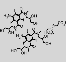 CN(CC(O)CO)C(=O)c1c(I)c(N)c(I)c(C(=O)N(C)CC(O)CO)c1I.CN(CC(O)CO)C(=O)c1c(I)c(N)c(I)c(C(=O)N(C)CC(O)CO)c1I.O=C(O)CSSCC(=O)O